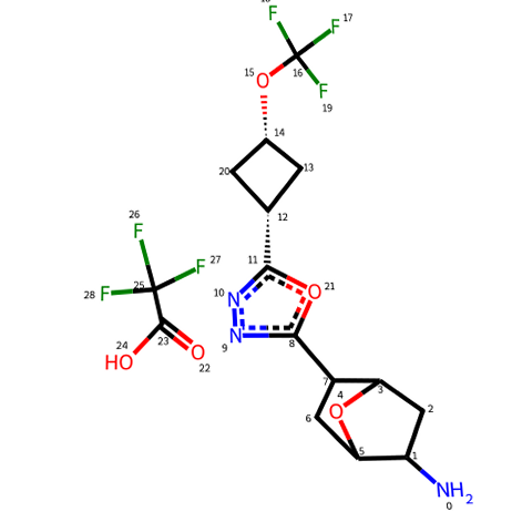 NC1CC2OC1CC2c1nnc([C@H]2C[C@@H](OC(F)(F)F)C2)o1.O=C(O)C(F)(F)F